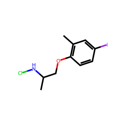 Cc1cc(I)ccc1OCC(C)NCl